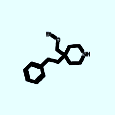 CCOCC1(CCc2ccccc2)CCNCC1